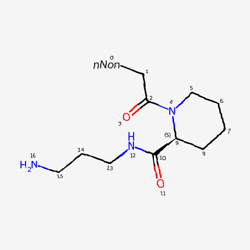 CCCCCCCCCCC(=O)N1CCCC[C@H]1C(=O)NCCCN